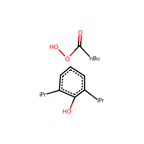 CC(C)c1cccc(C(C)C)c1O.CCCCC(=O)OO